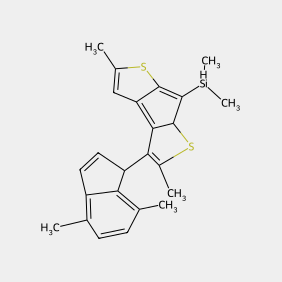 CC1=C(C2C=Cc3c(C)ccc(C)c32)C2=c3cc(C)sc3=C([SiH](C)C)C2S1